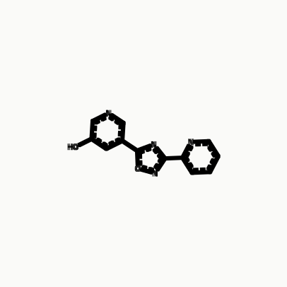 Oc1cncc(-c2nc(-c3ccccn3)no2)c1